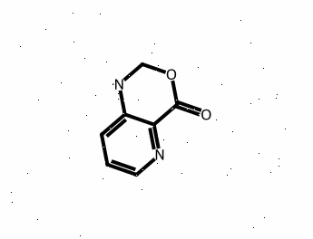 O=C1OC[N]c2cccnc21